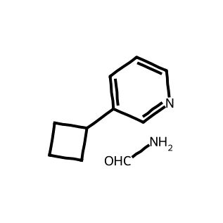 NC=O.c1cncc(C2CCC2)c1